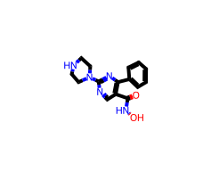 O=C(NO)c1cnc(N2CCNCC2)nc1-c1ccccc1